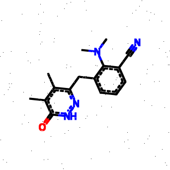 Cc1c(Cc2cccc(C#N)c2N(C)C)n[nH]c(=O)c1C